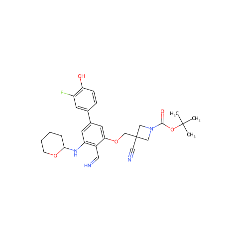 CC(C)(C)OC(=O)N1CC(C#N)(COc2cc(-c3ccc(O)c(F)c3)cc(NC3CCCCO3)c2C=N)C1